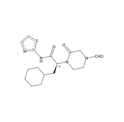 O=CN1CCN([C@@H](CC2CCCCC2)C(=O)Nc2nccs2)C(=O)C1